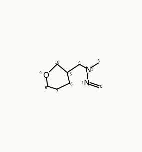 C=NN(C)CC1CCCOC1